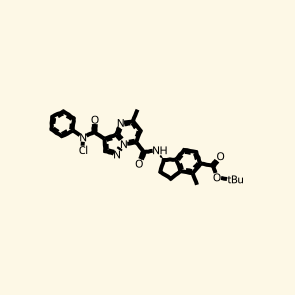 Cc1cc(C(=O)N[C@H]2CCc3c2ccc(C(=O)OC(C)(C)C)c3C)n2ncc(C(=O)N(Cl)c3ccccc3)c2n1